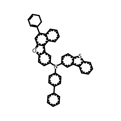 C1=CCCC(c2cc3oc4ccc(N(c5ccc(-c6ccccc6)cc5)c5ccc6sc7ccccc7c6c5)cc4c3c3ccccc23)=C1